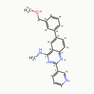 CNc1nc(-c2cccnc2)nc2ccc(-c3cccc(COC)c3)cc12